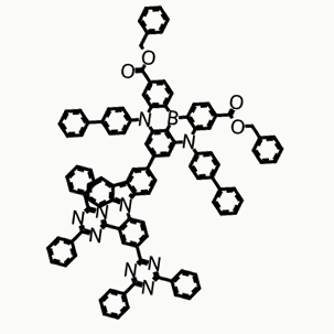 O=C(OCc1ccccc1)c1ccc2c(c1)N(c1ccc(-c3ccccc3)cc1)c1cc(-c3ccc4c(c3)c3ccccc3n4-c3ccc(-c4nc(-c5ccccc5)nc(-c5ccccc5)n4)cc3-c3nc(-c4ccccc4)nc(-c4ccccc4)n3)cc3c1B2c1ccc(C(=O)OCc2ccccc2)cc1N3c1ccc(-c2ccccc2)cc1